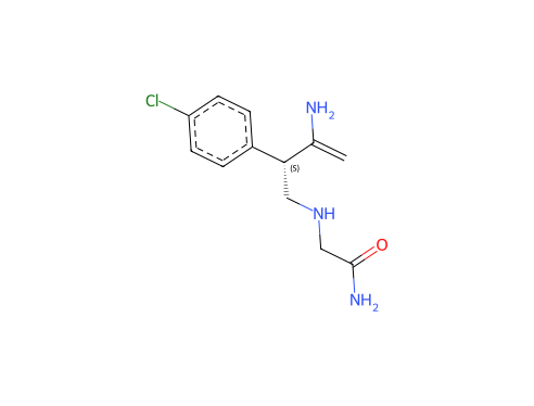 C=C(N)[C@H](CNCC(N)=O)c1ccc(Cl)cc1